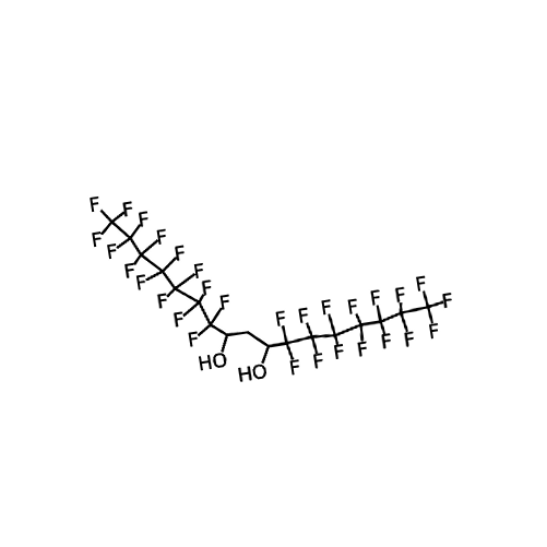 OC(CC(O)C(F)(F)C(F)(F)C(F)(F)C(F)(F)C(F)(F)C(F)(F)C(F)(F)F)C(F)(F)C(F)(F)C(F)(F)C(F)(F)C(F)(F)C(F)(F)C(F)(F)F